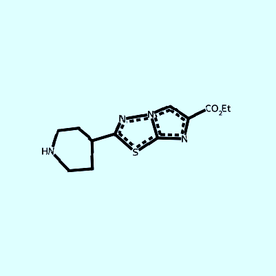 CCOC(=O)c1cn2nc(C3CCNCC3)sc2n1